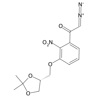 CC1(C)OC[C@@H](COc2cccc(C(=O)C=[N+]=[N-])c2[N+](=O)[O-])O1